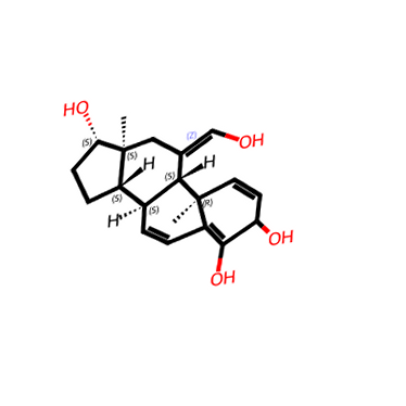 C[C@]12C/C(=C/O)[C@H]3[C@@H](C=CC4=C(O)C(O)C=C[C@@]43C)[C@@H]1CC[C@@H]2O